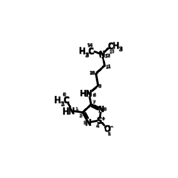 CNc1n[s+]([O-])nc1NCCCN(C)C